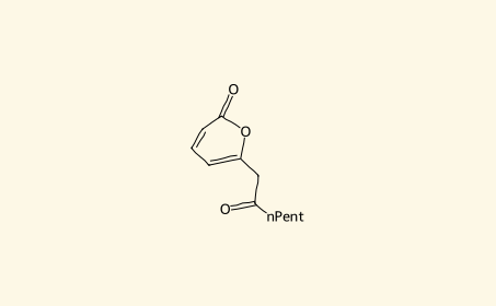 CCCCCC(=O)Cc1cccc(=O)o1